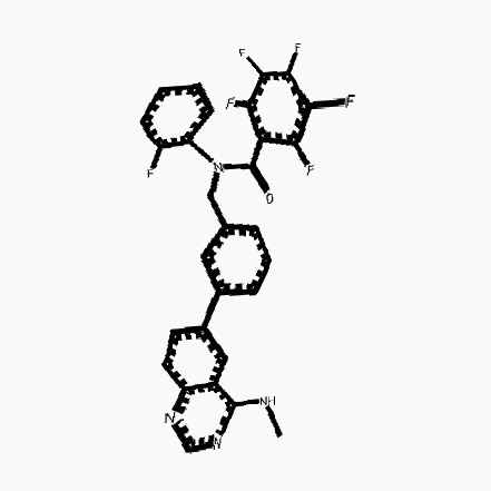 CNc1ncnc2ccc(-c3cccc(CN(C(=O)c4c(F)c(F)c(F)c(F)c4F)c4ccccc4F)c3)cc12